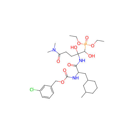 CCOP(=O)(OCC)C(O)C(O)(CCC(=O)N(C)C)NC(=O)C(CC1CCCC(C)C1)NC(=O)OCc1cccc(Cl)c1